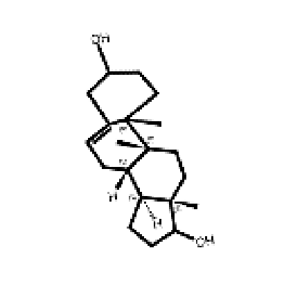 C[C@]12CCC(O)CC1=CC[C@H]1[C@@H]3CCC(O)[C@@]3(C)CC[C@]12C